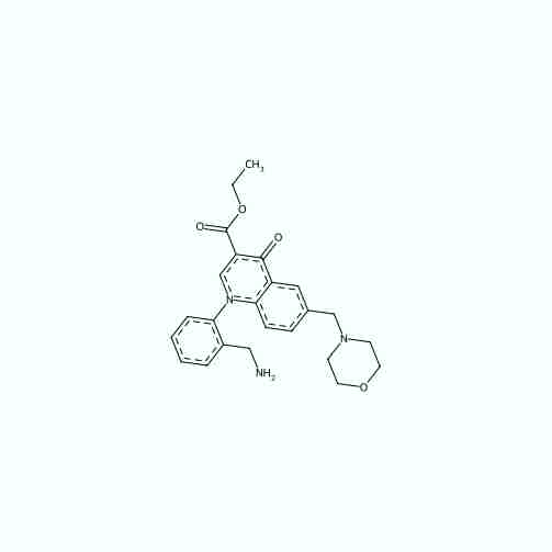 CCOC(=O)c1cn(-c2ccccc2CN)c2ccc(CN3CCOCC3)cc2c1=O